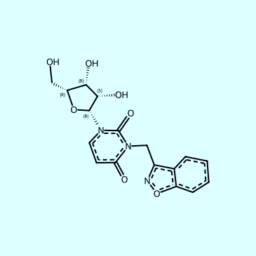 O=c1ccn([C@@H]2O[C@H](CO)[C@H](O)[C@@H]2O)c(=O)n1Cc1noc2ccccc12